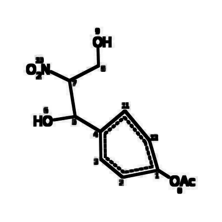 CC(=O)Oc1ccc(C(O)C(CO)[N+](=O)[O-])cc1